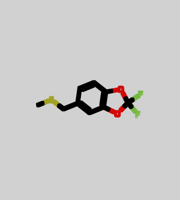 CSCc1ccc2c(c1)OC(F)(F)O2